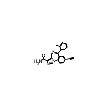 C#Cc1ccc2c(c1)C(c1ccccc1C)=NCc1c(C(N)=O)ncn1-2